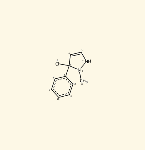 CN1NC=CC1(Cl)c1ccccc1